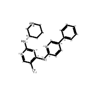 FC(F)(F)c1cnc(N[C@H]2CCCNC2)nc1Nc1ccc(-c2ccccc2)cn1